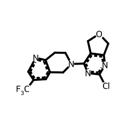 FC(F)(F)c1cnc2c(c1)CN(c1nc(Cl)nc3c1COC3)CC2